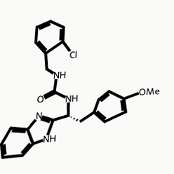 COc1ccc(C[C@@H](NC(=O)NCc2ccccc2Cl)c2nc3ccccc3[nH]2)cc1